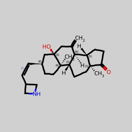 C=C1C[C@@]2(O)C[C@H](/C=C\C3CNC3)CC[C@]2(C)[C@H]2CC[C@]3(C)C(=O)CC[C@H]3[C@H]12